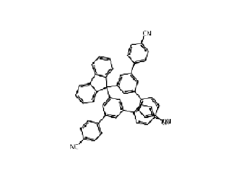 N#Cc1ccc(-c2cc(-c3ccc(C#N)cc3)cc(C3(c4cc(-c5ccc(C#N)cc5)cc(-c5ccc(C#N)cc5)c4)c4ccccc4-c4ccccc43)c2)cc1